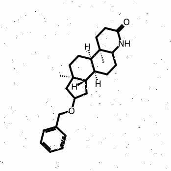 C[C@]12CC[C@@H]3[C@@H](CCC4NC(=O)CC[C@@]43C)[C@@H]1CC(OCc1ccccc1)C2